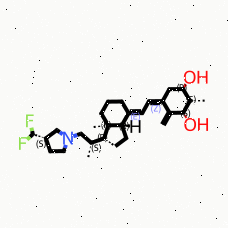 C=C1/C(=C\C=C2/CCC[C@]3(C)[C@@H]([C@H](C)CN4CC[C@H](C(F)F)C4)CC[C@@H]23)C[C@@H](O)[C@H](C)[C@@H]1O